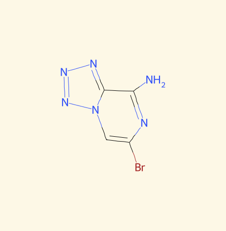 Nc1nc(Br)cn2nnnc12